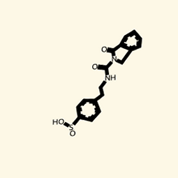 O=C(NCCc1ccc(S(=O)O)cc1)N1Cc2ccccc2C1=O